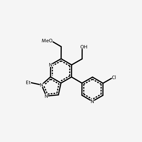 CCn1ncc2c(-c3cncc(Cl)c3)c(CO)c(COC)nc21